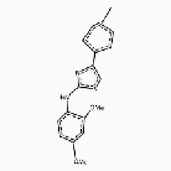 COc1ccc(Nc2nc(-c3ccc(C)cc3)cs2)c(OC)c1